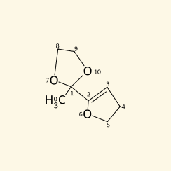 CC1(C2=CCCO2)OCCO1